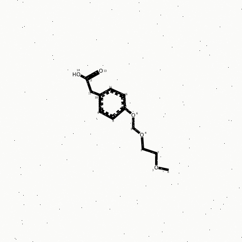 COCCOCOc1ccc(CC(=O)O)cc1